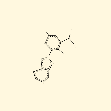 Cc1cc(C(C)C)c(O)c(-n2nc3ccccc3n2)c1